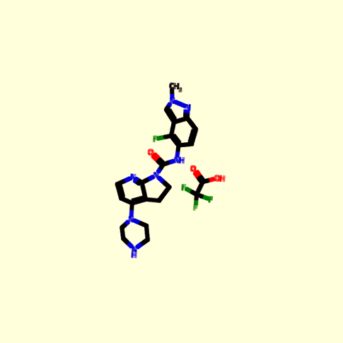 Cn1cc2c(F)c(NC(=O)N3CCc4c(N5CCNCC5)ccnc43)ccc2n1.O=C(O)C(F)(F)F